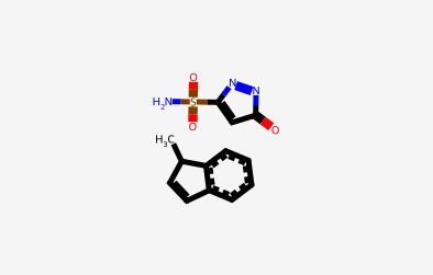 CC1C=Cc2ccccc21.NS(=O)(=O)C1=CC(=O)N=N1